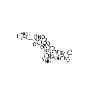 CC(C)c1ccccc1[C@H]1CCCN1C1CC2(CCN(c3ccc(C(=O)NS(=O)(=O)c4cc5c(c([N+](=O)[O-])c4)N[C@@H]([C@H]4CC[C@](C)(O)CC4)CO5)c(Oc4cc5cc[nH]c5nc4OCC4(O)CC4)c3)CC2)C1